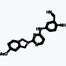 COc1ccc2c(c1)CN(c1nccc(Nc3ccc(N)c(C=N)c3)n1)C2